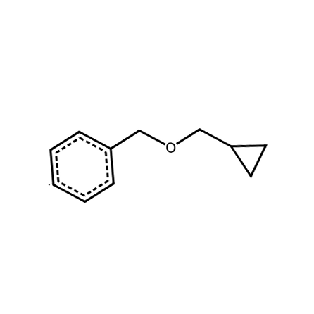 [c]1ccc(COCC2CC2)cc1